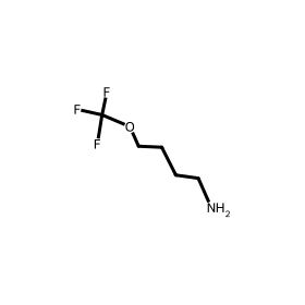 NCCCCOC(F)(F)F